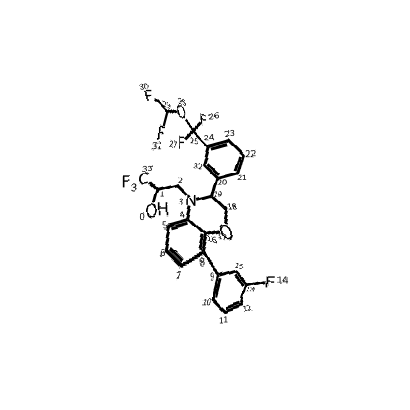 OC(CN1c2cccc(-c3cccc(F)c3)c2OCC1c1cccc(C(F)(F)OC(F)F)c1)C(F)(F)F